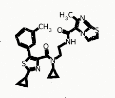 Cc1cccc(-c2sc(C3CC3)nc2C(=O)N(CCNC(=O)c2c(C)nc3sccn23)C2CC2)c1